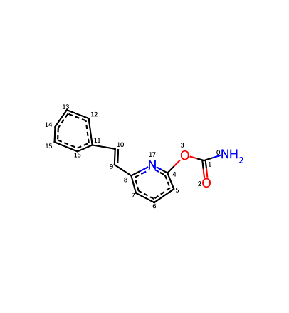 NC(=O)Oc1cccc(C=Cc2ccccc2)n1